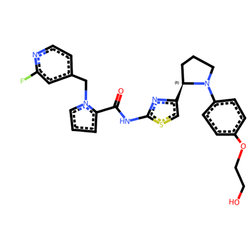 O=C(Nc1nc([C@H]2CCCN2c2ccc(OCCO)cc2)cs1)c1cccn1Cc1ccnc(F)c1